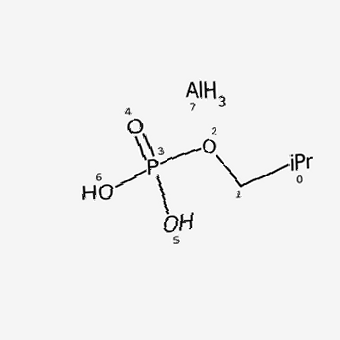 CC(C)COP(=O)(O)O.[AlH3]